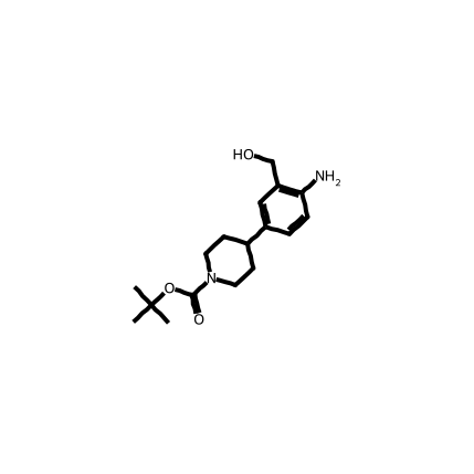 CC(C)(C)OC(=O)N1CCC(c2ccc(N)c(CO)c2)CC1